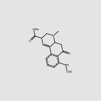 COC(=O)C1C=C2c3cccc(NC=O)c3C(=O)CC2N(C)C1